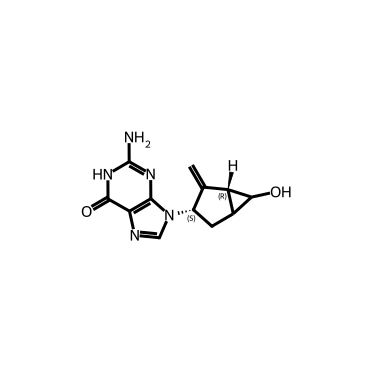 C=C1[C@@H]2C(O)C2C[C@@H]1n1cnc2c(=O)[nH]c(N)nc21